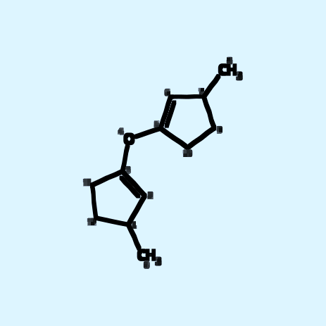 CC1C=C(OC2=CC(C)CC2)CC1